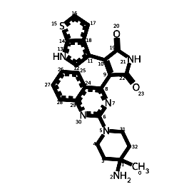 CC1(N)CCN(c2nc(C3=C(c4c[nH]c5sccc45)C(=O)NC3=O)c3ccccc3n2)CC1